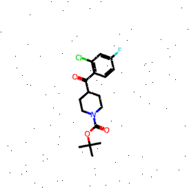 CC(C)(C)OC(=O)N1CCC(C(=O)c2ccc(F)cc2Cl)CC1